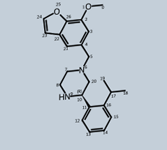 COc1cc(CN2CCN[C@H](c3ccccc3C(C)C)C2)cc2ccoc12